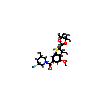 COc1cc(C(=O)N2C[C@H](C)C[C@@H](F)C2)cc2sc(B3OC(C)(C)C(C)(C)O3)c(C)c12